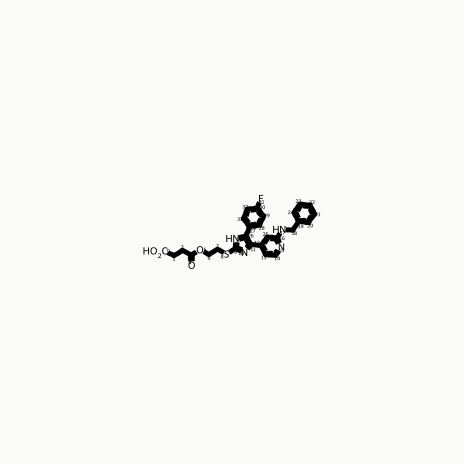 O=C(O)CCC(=O)OCCSc1nc(-c2ccnc(NCc3ccccc3)c2)c(-c2ccc(F)cc2)[nH]1